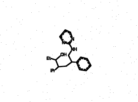 CCC(O)C(CC(CNc1ncccn1)c1ccccc1)C(C)C